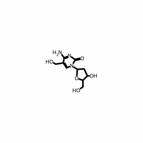 Nc1nc(=O)n(C2CC(O)C(CO)O2)cc1CO